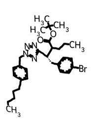 CCCCCc1ccc(Cn2nnc([C@@H](Cc3ccc(Br)cc3)C(CCC)C(=O)OC(C)(C)C)n2)cc1